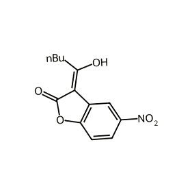 CCCCC(O)=C1C(=O)Oc2ccc([N+](=O)[O-])cc21